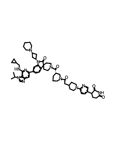 CC(C)n1cnc2cc(-c3ccc4c(c3)N([C@H]3C[C@@H](N5CCCCC5)C3)C(=O)C43CCN(C(=O)[C@H]4CCCN(C(=O)CC5CCN(c6ccc(C7CCC(=O)NC7=O)cn6)CC5)C4)CC3)nc(NCC3CC3)c21